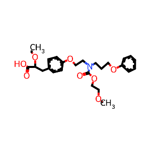 CCOC(Cc1ccc(OCCN(CCCOc2ccccc2)C(=O)OCCOC)cc1)C(=O)O